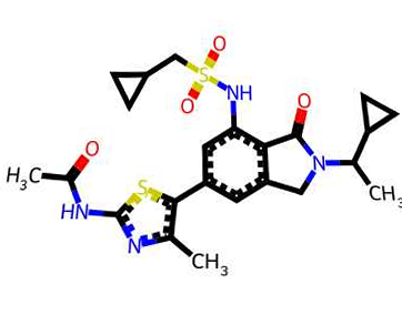 CC(=O)Nc1nc(C)c(-c2cc3c(c(NS(=O)(=O)CC4CC4)c2)C(=O)N(C(C)C2CC2)C3)s1